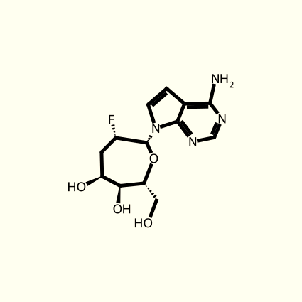 Nc1ncnc2c1ccn2[C@@H]1O[C@H](CO)[C@@H](O)[C@@H](O)C[C@@H]1F